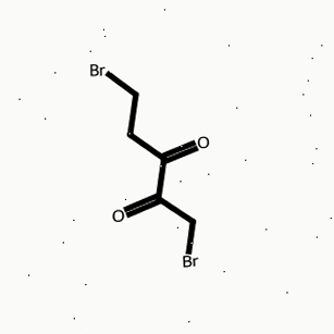 O=C(CBr)C(=O)CCBr